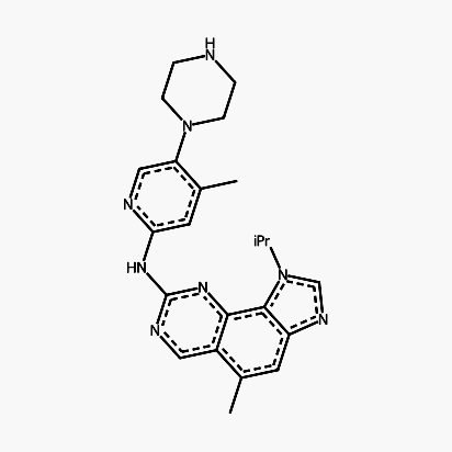 Cc1cc(Nc2ncc3c(C)cc4ncn(C(C)C)c4c3n2)ncc1N1CCNCC1